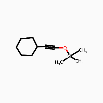 C[Si](C)(C)OC#CC1CCCCC1